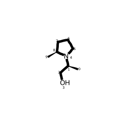 C[C@@H](CO)N1CCC[C@@H]1C